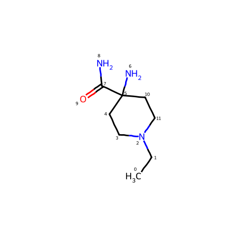 CCN1CCC(N)(C(N)=O)CC1